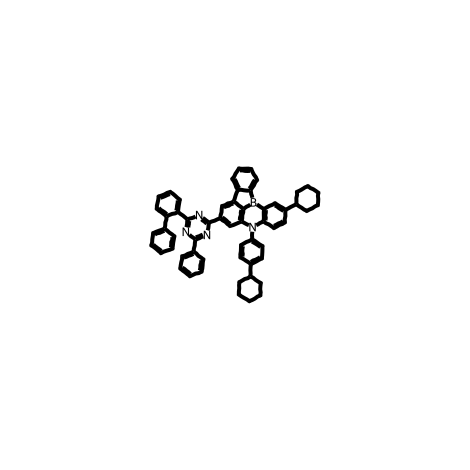 c1ccc(-c2nc(-c3cc4c5c(c3)N(c3ccc(C6CCCCC6)cc3)c3ccc(C6CCCCC6)cc3B5c3ccccc3-4)nc(-c3ccccc3-c3ccccc3)n2)cc1